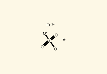 O=S(=O)([O-])[O-].[Cu+2].[V]